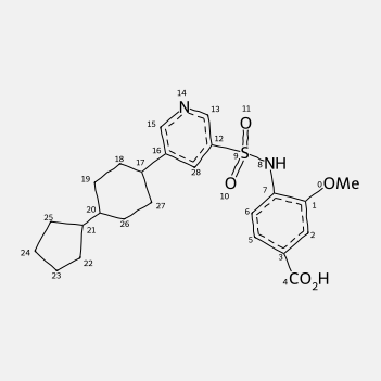 COc1cc(C(=O)O)ccc1NS(=O)(=O)c1cncc(C2CCC(C3CCCC3)CC2)c1